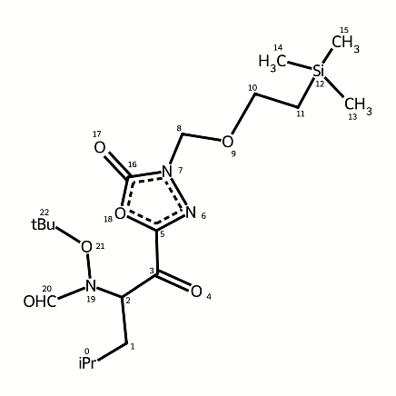 CC(C)CC(C(=O)c1nn(COCC[Si](C)(C)C)c(=O)o1)N(C=O)OC(C)(C)C